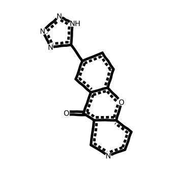 O=c1c2cnccc2oc2ccc(-c3nnn[nH]3)cc12